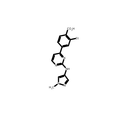 CCc1cc(-c2ccnc(Nc3cnn(C)c3)n2)ccc1C(=O)O